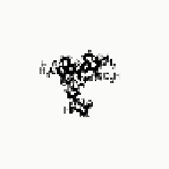 CCCC[n+]1ccn(CC(=O)N2CCC(C(=O)ON3C(=O)CCC3=P)CC2)c1C1=c2cc3c4c(c2Oc2c1cc1c5c2CCCN5C(C)(C)C=C1CC)CCC[N+]=4C(C)(C)C=C3CS(=O)(=O)O